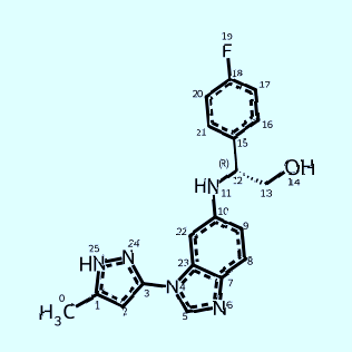 Cc1cc(-n2cnc3ccc(N[C@@H](CO)c4ccc(F)cc4)cc32)n[nH]1